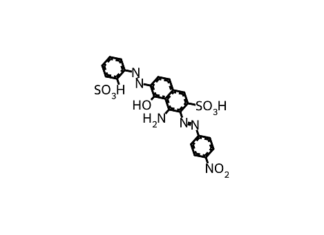 Nc1c(N=Nc2ccc([N+](=O)[O-])cc2)c(S(=O)(=O)O)cc2ccc(N=Nc3ccccc3S(=O)(=O)O)c(O)c12